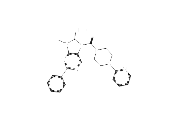 CN1c2nc(-c3ccccc3)ncc2N(C(=O)N2CCN(c3ccccn3)CC2)C1C=O